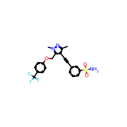 Cc1nn(C)c(COc2ccc(C(F)(F)F)cc2)c1C#Cc1cccc(S(N)(=O)=O)c1